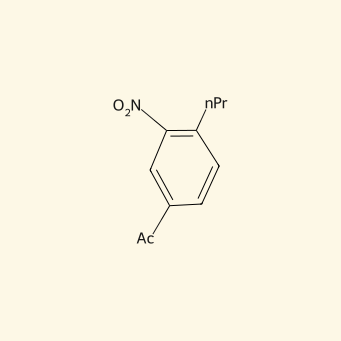 CCCc1ccc(C(C)=O)cc1[N+](=O)[O-]